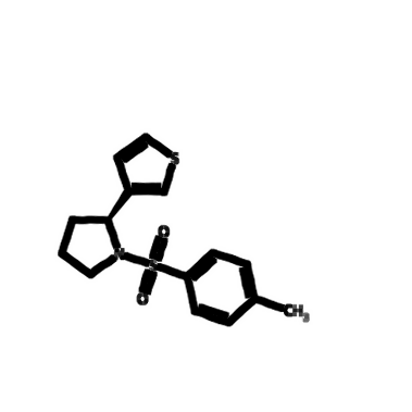 Cc1ccc(S(=O)(=O)N2CCC[C@H]2c2ccsc2)cc1